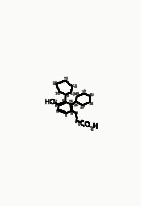 O=C(O)CCc1ccc(O)c(C2CCCCC2)c1C1CCCCC1